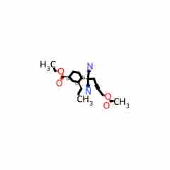 CCC[C@H]1C[C@@H](C(=O)OCC)CC[C@@H]1C(C#N)(C#N)CC#CCOC(C)=O